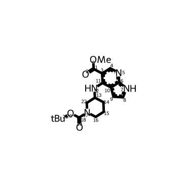 COC(=O)c1cnc2[nH]ccc2c1NC1CCCN(C(=O)OC(C)(C)C)C1